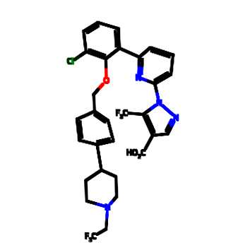 O=C(O)c1cnn(-c2cccc(-c3cccc(Cl)c3OCc3ccc(C4CCN(CC(F)(F)F)CC4)cc3)n2)c1C(F)(F)F